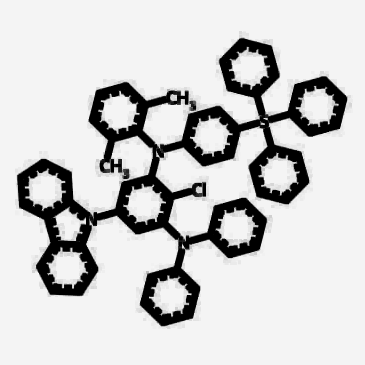 Cc1cccc(C)c1N(c1ccc(S(c2ccccc2)(c2ccccc2)c2ccccc2)cc1)c1cc(-n2c3ccccc3c3ccccc32)cc(N(c2ccccc2)c2ccccc2)c1Cl